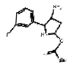 CC(C)(C)C(=O)OC1CC(N)C(c2cccc(F)c2)N1